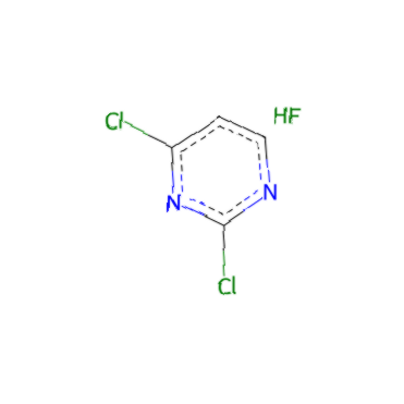 Clc1ccnc(Cl)n1.F